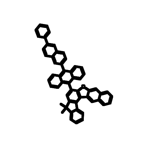 CC1(C)c2ccccc2-c2c1cc(-c1c3ccccc3c(-c3ccc4cc(-c5ccccc5)ccc4c3)c3ccccc13)c1oc3cc4ccccc4cc3c21